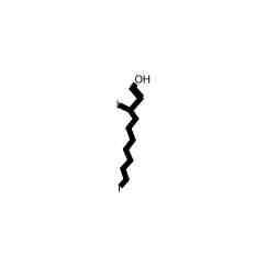 OC=CC(I)CCCCCCCI